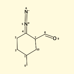 CC1CCC(=[N+]=[N-])C(C=O)C1